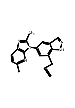 C=CCc1cc(-n2c(C(F)(F)F)nc3ccc(C)nc32)cc2cn[nH]c12